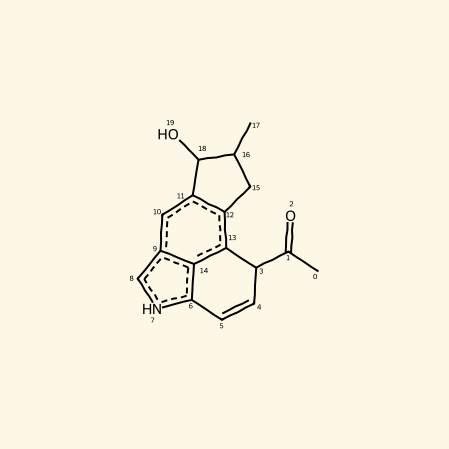 CC(=O)C1C=Cc2[nH]cc3cc4c(c1c23)CC(C)C4O